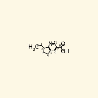 CC[C@@H]1CCc2cc(C(=O)O)cnc21